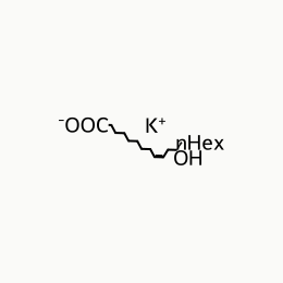 CCCCCC[C@@H](O)C/C=C\CCCCCCCC(=O)[O-].[K+]